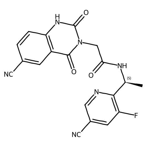 C[C@H](NC(=O)Cn1c(=O)[nH]c2ccc(C#N)cc2c1=O)c1ncc(C#N)cc1F